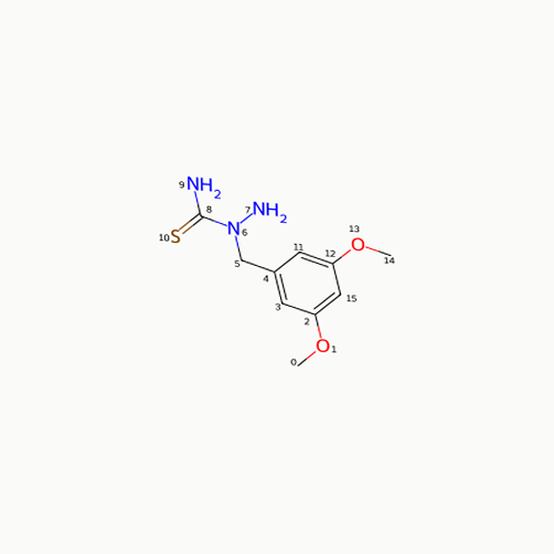 COc1cc(CN(N)C(N)=S)cc(OC)c1